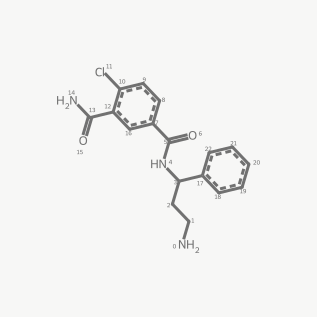 NCCC(NC(=O)c1ccc(Cl)c(C(N)=O)c1)c1ccccc1